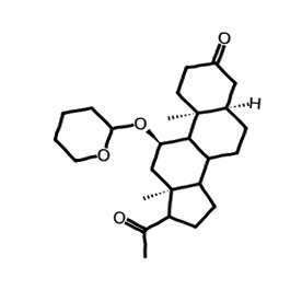 CC(=O)C1CCC2C3CC[C@@H]4CC(=O)CC[C@]4(C)C3[C@H](OC3CCCCO3)C[C@]12C